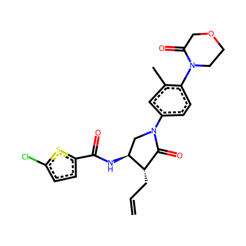 C=CC[C@H]1C(=O)N(c2ccc(N3CCOCC3=O)c(C)c2)C[C@@H]1NC(=O)c1ccc(Cl)s1